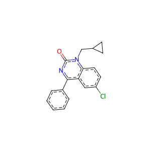 O=c1nc(-c2ccccc2)c2cc(Cl)ccc2n1CC1CC1